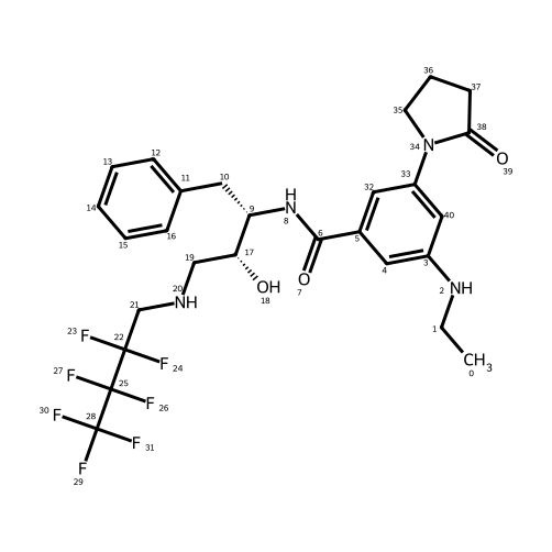 CCNc1cc(C(=O)N[C@@H](Cc2ccccc2)[C@H](O)CNCC(F)(F)C(F)(F)C(F)(F)F)cc(N2CCCC2=O)c1